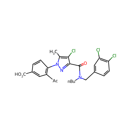 CCCCN(Cc1ccc(Cl)c(Cl)c1)C(=O)c1nn(-c2ccc(C(=O)O)cc2C(C)=O)c(C)c1Cl